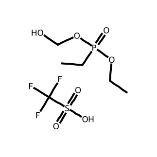 CCOP(=O)(CC)OCO.O=S(=O)(O)C(F)(F)F